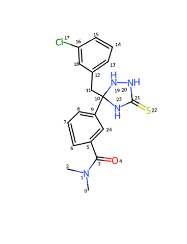 CN(C)C(=O)c1cccc(C2(Cc3cccc(Cl)c3)NNC(=S)N2)c1